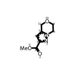 COC(=O)c1cc2n(n1)CCOC2